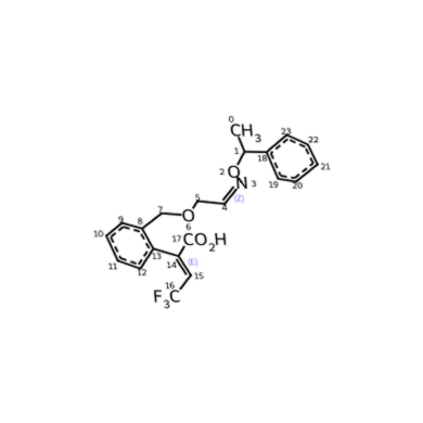 CC(O/N=C\COCc1ccccc1/C(=C\C(F)(F)F)C(=O)O)c1ccccc1